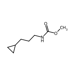 COC(=O)NCCCC1CC1